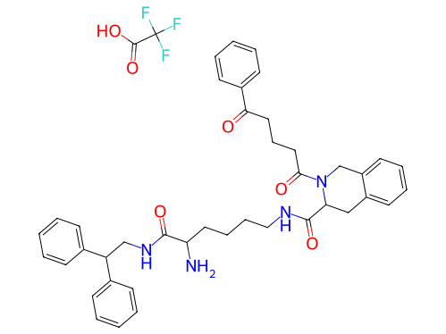 NC(CCCCNC(=O)C1Cc2ccccc2CN1C(=O)CCCC(=O)c1ccccc1)C(=O)NCC(c1ccccc1)c1ccccc1.O=C(O)C(F)(F)F